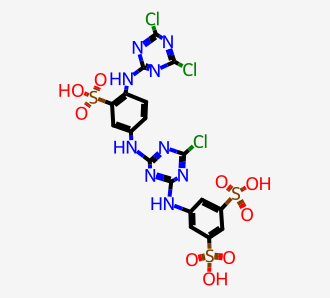 O=S(=O)(O)c1cc(Nc2nc(Cl)nc(Nc3ccc(Nc4nc(Cl)nc(Cl)n4)c(S(=O)(=O)O)c3)n2)cc(S(=O)(=O)O)c1